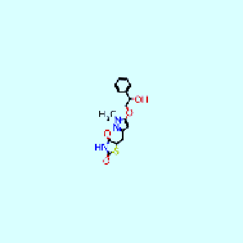 Cn1nc(CC2SC(=O)NC2=O)cc1OCC(O)c1ccccc1